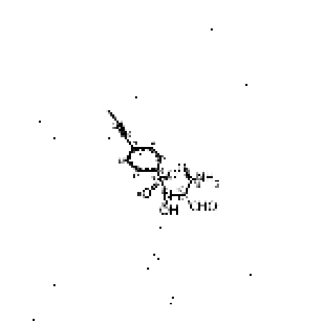 CC#Cc1ccc(S(=O)(=O)N(O)[C@@H]([C]=O)C(N)=O)cc1